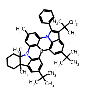 Cc1cc2c3c(c1)-n1c(-c4ccccc4)c(C(C)(C)C)c4cc(C(C)(C)C)cc(c41)B3c1cc(C(C)(C)C)cc3c1N2C1(C)CCCCC31C